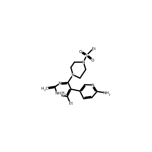 C=C(N)/N=C(\C(=C(/N)CC)c1ccc(N)nc1)N1CCN(S(=O)(=O)CC)CC1